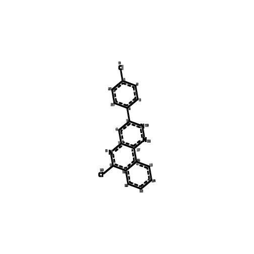 Clc1ccc(-c2cc3nc(Cl)c4ccccc4c3nn2)cc1